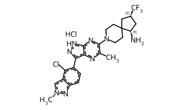 Cc1nc2c(-c3ccc4nn(C)cc4c3Cl)n[nH]c2nc1N1CCC2(CC1)C[C@@H](C(F)(F)F)C[C@H]2N.Cl